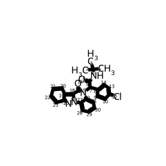 CC(C)(C)NC(=O)C(c1ccc(Cl)cc1)n1c(=O)c2c3ccccc3nn2c2ccccc21